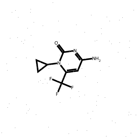 Nc1cc(C(F)(F)F)n(C2CC2)c(=O)n1